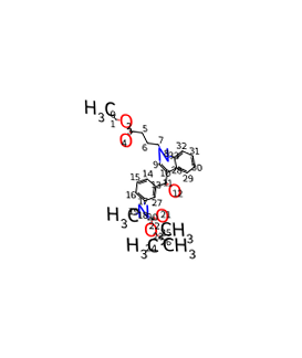 CCOC(=O)CCCn1cc(C(=O)c2cccc(N(C)C(=O)OC(C)(C)C)c2)c2ccccc21